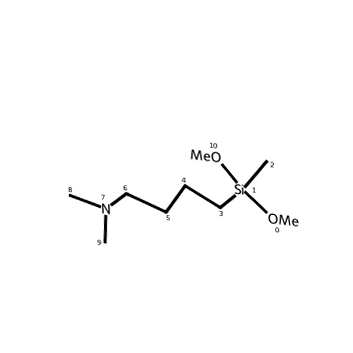 CO[Si](C)(CCCCN(C)C)OC